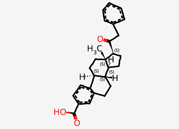 C[C@]12CC[C@@H]3c4ccc(C(=O)O)cc4CC[C@H]3[C@@H]1CC[C@@H]2C(=O)Cc1ccccc1